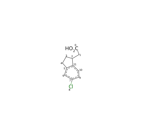 O=C(O)CC1CCc2cc(Cl)ccc21